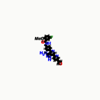 COc1ccc(F)cc1C(=O)NCc1ccc(-c2ncc(-c3ccc(C4COC4)cn3)c3[nH]nc(N)c23)cc1